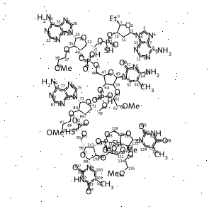 CC[C@H]1O[C@@H](n2cnc3c(N)ncnc32)C[C@H]1OP(=O)(S)OC[C@H]1O[C@@H](n2cnc3c(N)ncnc32)C(OCCOC)[C@H]1OP(=O)(O)OC[C@H]1O[C@@H](n2cc(C)c(N)nc2=O)C(OCCOC)[C@H]1OP(=O)(O)OC[C@H]1O[C@@H](n2cnc3c(N)ncnc32)C(OCCOC)[C@H]1OP(=O)(S)OC[C@H]1O[C@@H](n2cc(C)c(=O)[nH]c2=O)C(OCCOC)[C@H]1OP(=O)(S)OC[C@H]1O[C@@H](n2cc(C)c(=O)[nH]c2=O)C(OCCOC)[C@H]1O